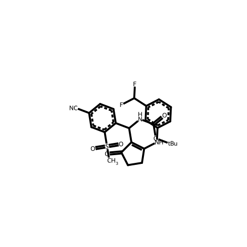 CC(C)(C)OC(=O)NC(C1=C(Nc2cccc(C(F)F)c2)CCC1=O)c1ccc(C#N)cc1S(C)(=O)=O